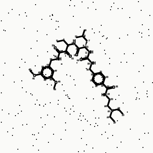 CCC(NC(=O)[C@H](CC(C)C)NC(=O)NCc1ccc(C(=O)NCCN(CC)CC)cc1)C(=O)C(=O)NCc1cc(OC)cc(OC)c1